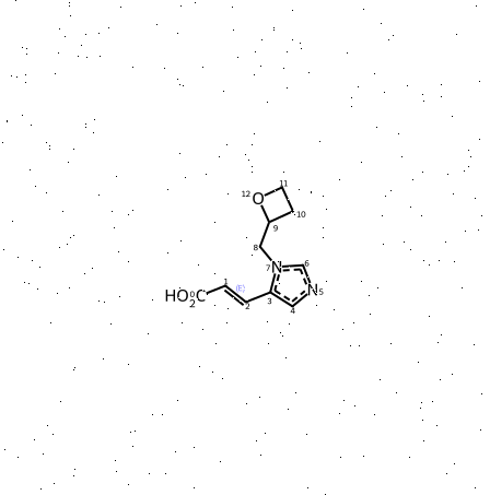 O=C(O)/C=C/c1cncn1CC1CCO1